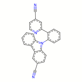 N#Cc1ccnc(-c2ccccc2-n2c3ccccc3c3cc(C#N)ccc32)c1